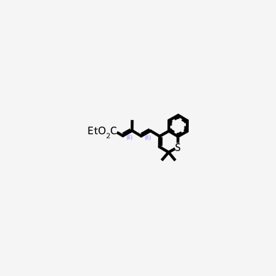 CCOC(=O)/C=C(C)/C=C/C1=CC(C)(C)Sc2ccccc21